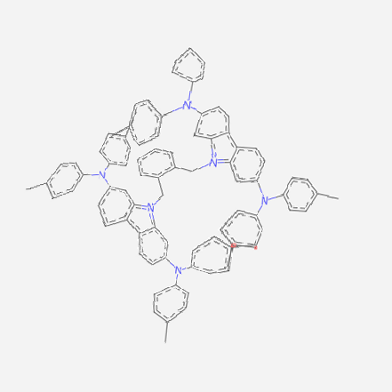 Cc1ccc(N(c2ccccc2)c2ccc3c4ccc(N(c5ccc(C)cc5)c5ccc(C)cc5)cc4n(Cc4ccccc4Cn4c5cc(N(c6ccc(C)cc6)c6ccc(C)cc6)ccc5c5ccc(N(c6ccc(C)cc6)c6ccc(C)cc6)cc54)c3c2)cc1